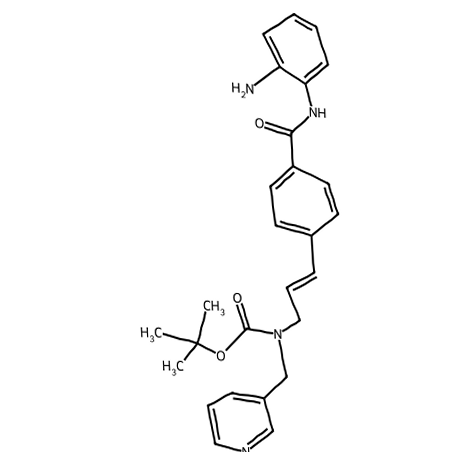 CC(C)(C)OC(=O)N(C/C=C/c1ccc(C(=O)Nc2ccccc2N)cc1)Cc1cccnc1